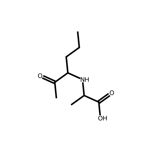 CCCC(NC(C)C(=O)O)C(C)=O